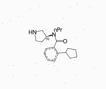 CCCN(C(=O)c1ccccc1C1CCCC1)[C@H]1CCNC1